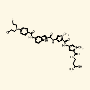 Cn1cc(NC(=O)c2cc(NC(=O)c3cc4cc(NC(=O)c5ccc(N(CCCl)CCCl)cc5)ccc4[nH]3)cn2C)cc1C(=O)NCCC(=N)N